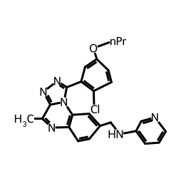 CCCOc1ccc(Cl)c(-c2nnc3c(C)nc4ccc(CNc5cccnc5)cc4n23)c1